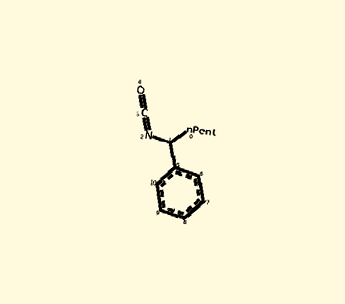 CCCCCC(N=C=O)c1ccccc1